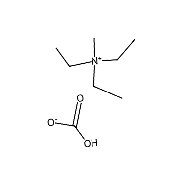 CC[N+](C)(CC)CC.O=C([O-])O